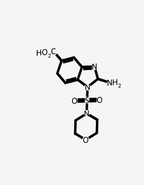 NC1N=C2C=C(C(=O)O)CC=C2N1S(=O)(=O)N1CCOCC1